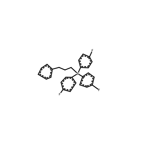 Fc1ccc([B-](CCCc2ccccc2)(c2ccc(F)cc2)c2ccc(F)cc2)cc1